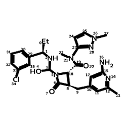 CC[C@@H](NC(O)N1C(=O)[C@H](Cc2cc(C)nc(N)c2)[C@H]1C(=O)N(C)c1ccn(C)n1)c1cccc(Cl)c1